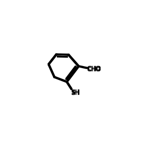 O=CC1=C(S)CCC=C1